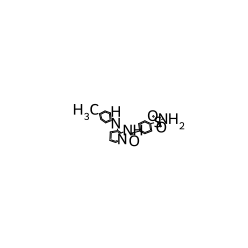 Cc1ccc(Nc2cccnc2NC(=O)c2ccc(S(N)(=O)=O)cc2)cc1